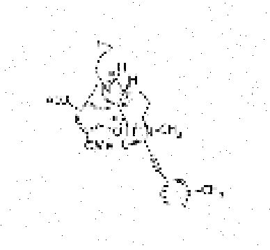 COc1cc(OC(C)=O)c2c3c1O[C@H]1[C@H](N(C)C(=O)C#Cc4cccc(C)c4)CC[C@H]4[C@@H](C2)N(CC2CC2)CC[C@@]341